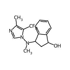 Cc1n[c]n(N(C)C2CC(O)c3ccccc32)c1C(F)(F)F